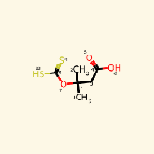 CC(C)(CC(=O)O)OC(=S)S